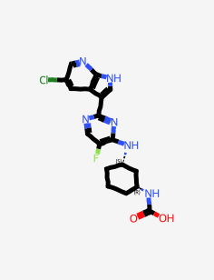 O=C(O)N[C@@H]1CCC[C@H](Nc2nc(-c3c[nH]c4ncc(Cl)cc34)ncc2F)C1